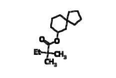 CCC(C)(C)C(=O)OC1CCCC2(CCCC2)C1